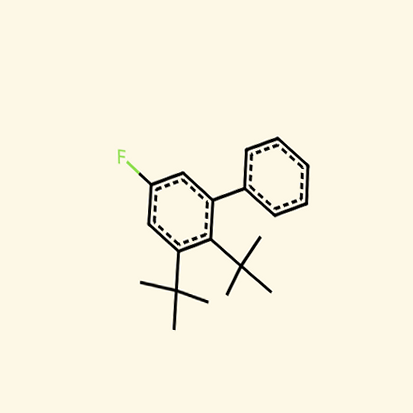 CC(C)(C)c1cc(F)cc(-c2ccccc2)c1C(C)(C)C